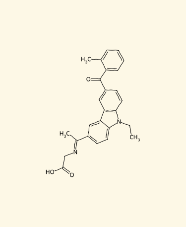 CCn1c2ccc(C(=O)c3ccccc3C)cc2c2cc(C(C)=NCC(=O)O)ccc21